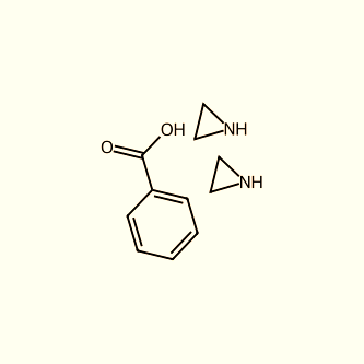 C1CN1.C1CN1.O=C(O)c1ccccc1